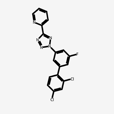 Fc1cc(-c2ccc(Cl)cc2Cl)cc(-n2nnc(-c3ccccn3)n2)c1